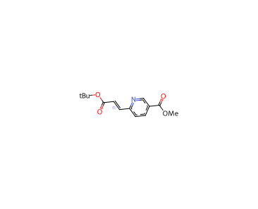 COC(=O)c1ccc(/C=C/C(=O)OC(C)(C)C)nc1